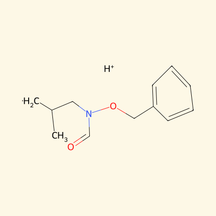 [CH2]C(C)CN(C=O)OCc1ccccc1.[H+]